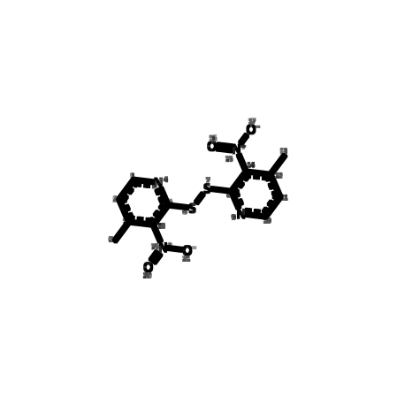 Cc1ccnc(SSc2nccc(C)c2[N+](=O)[O-])c1[N+](=O)[O-]